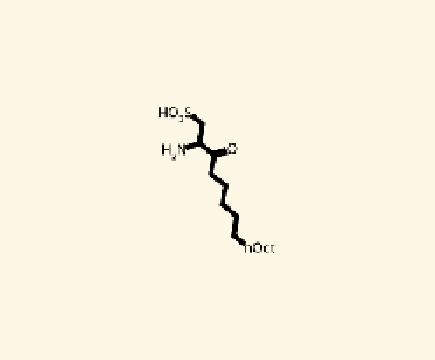 CCCCCCCCCCCCCC(=O)C(N)CS(=O)(=O)O